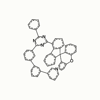 c1ccc(-c2nc(-c3cccc(-c4cccc(-c5cccnc5)c4)c3)nc(-c3cccc4c3-c3ccccc3C43c4ccccc4Oc4ccccc43)n2)cc1